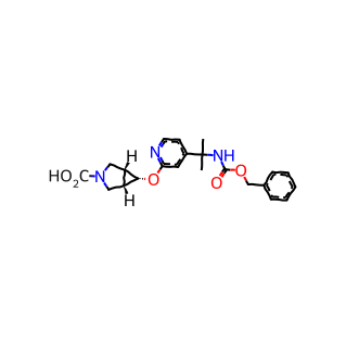 CC(C)(NC(=O)OCc1ccccc1)c1ccnc(O[C@@H]2[C@@H]3CN(C(=O)O)C[C@@H]32)c1